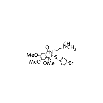 COc1cc2c(=O)n(CCCCN(C)C)c(SCc3ccc(Br)cc3)nc2c(OC)c1OC